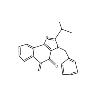 C=C1C(=O)c2c(nc(C(C)C)n2Cc2ccccc2)-c2ccccc21